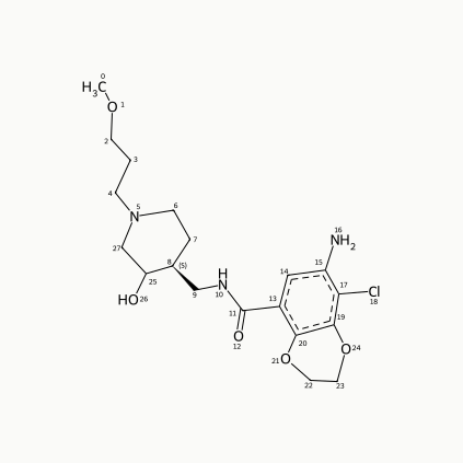 COCCCN1CC[C@@H](CNC(=O)c2cc(N)c(Cl)c3c2OCCO3)C(O)C1